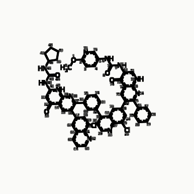 COc1ccc(NC(=O)Nc2c[nH]c3nc(-c4ccccc4)c(-c4cc(Cl)c5nccc(-c6cccc(-c7nc8[nH]c(NC(=O)NC9CCCC9)cc(=O)c8cc7-c7cc(Cl)c8ncccc8c7)c6)c5c4)cc3c2=O)cn1